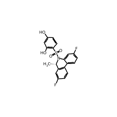 C[C@H]1c2cc(F)ccc2-c2ccc(F)cc2N1S(=O)(=O)c1ccc(O)cc1O